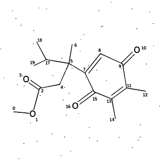 COC(=O)CC(C)(C1=CC(=O)C(C)=C(C)C1=O)C(C)C